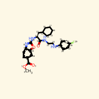 COC(=O)c1ccc2nc(N[C@@H](CC3CCCCC3)C(=O)NCCNc3ccc(F)cc3)oc2c1